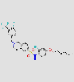 CCCCCCOc1ccc(NS(=O)(=O)c2ccc3c(c2)CCN(Cc2ccc(F)c(C(F)(F)F)c2)C3)c(F)c1